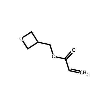 C=CC(=O)OCC1COC1